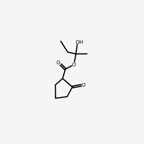 CCC(C)(O)OC(=O)C1CCCC1=O